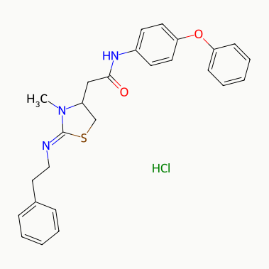 CN1C(=NCCc2ccccc2)SCC1CC(=O)Nc1ccc(Oc2ccccc2)cc1.Cl